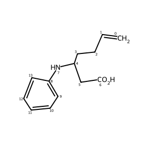 C=CCCC(CC(=O)O)Nc1ccccc1